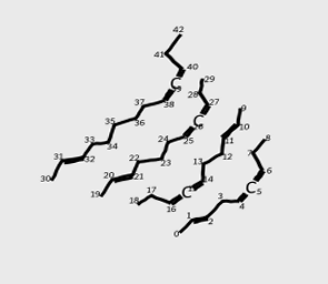 CC=CCC=C=CCC.CC=CCCC=C=CCC.CC=CCCCC=C=CCC.CC=CCCCCCC=C=CCC